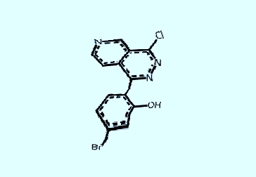 Oc1cc(Br)ccc1-c1nnc(Cl)c2cnccc12